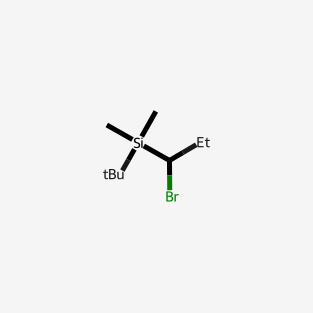 CCC(Br)[Si](C)(C)C(C)(C)C